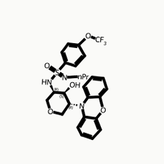 CCCN=S(=O)(N[C@@H]1COC[C@@H](N2c3ccccc3Oc3ccccc32)[C@@H]1O)c1ccc(OC(F)(F)F)cc1